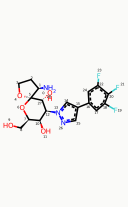 N[C@@H]1CCO[C@]12O[C@H](CO)[C@H](O)[C@H](n1cc(-c3cc(F)c(F)c(F)c3)cn1)[C@H]2O